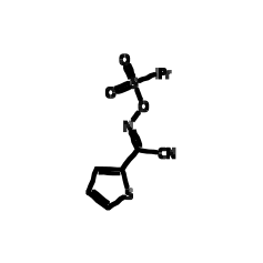 CC(C)S(=O)(=O)ON=C(C#N)c1cccs1